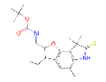 CCC1c2cc(C)c3c(c2OC1CNC(=O)OC(C)(C)C)C(C)(C)C(=S)N3